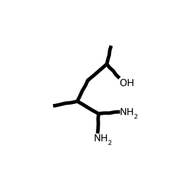 CC(O)CC(C)C(N)N